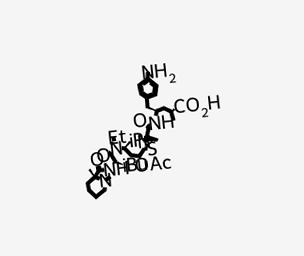 CC[C@H](C)[C@H](NC(=O)[C@@]1(C)CCCCN1C)C(=O)N(CC)[C@H](C[C@@H](OC(C)=O)c1nc(C(=O)N[C@@H](Cc2ccc(N)cc2)C[C@H](C)C(=O)O)cs1)C(C)C